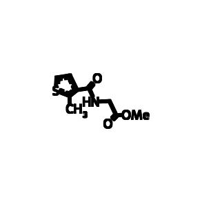 COC(=O)CNC(=O)c1ccsc1C